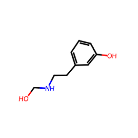 OCNCCc1cccc(O)c1